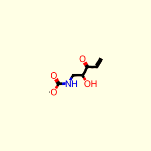 C=CC(=O)C(O)CNC([O])=O